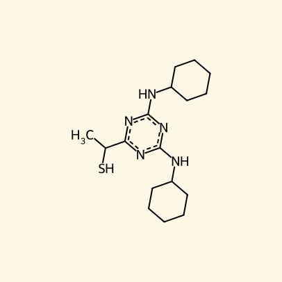 CC(S)c1nc(NC2CCCCC2)nc(NC2CCCCC2)n1